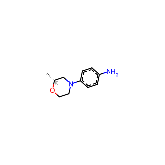 C[C@@H]1CN(c2ccc(N)cc2)CCO1